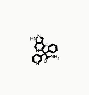 NC(=O)C(c1ccccc1)(c1cccnc1)c1ncc2[nH]ncc2c1F